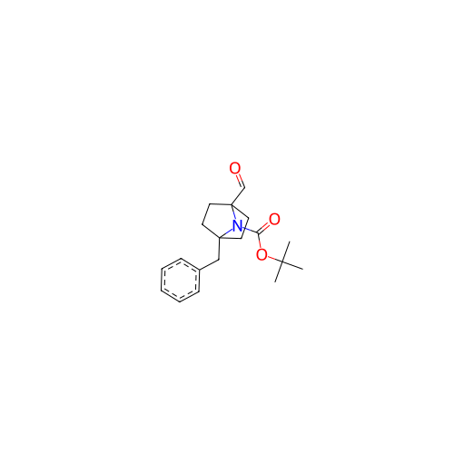 CC(C)(C)OC(=O)N1C2(C=O)CCC1(Cc1ccccc1)CC2